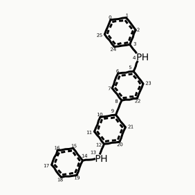 c1ccc(Pc2ccc(-c3ccc(Pc4ccccc4)cc3)cc2)cc1